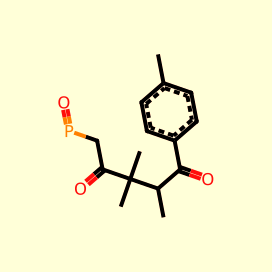 Cc1ccc(C(=O)C(C)C(C)(C)C(=O)CP=O)cc1